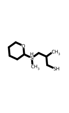 CC(CS)C[SiH](C)C1CCCCO1